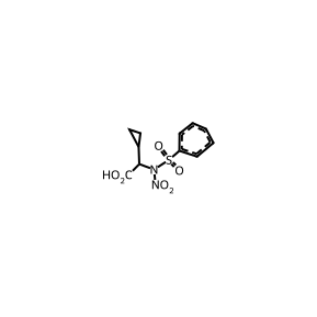 O=C(O)C(C1CC1)N([N+](=O)[O-])S(=O)(=O)c1ccccc1